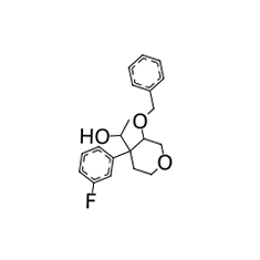 CC(O)C1(c2cccc(F)c2)CCOCC1OCc1ccccc1